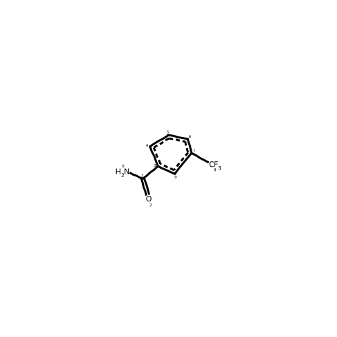 NC(=O)c1[c]ccc(C(F)(F)F)c1